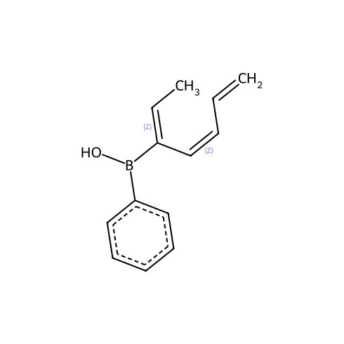 C=C/C=C\C(=C/C)B(O)c1ccccc1